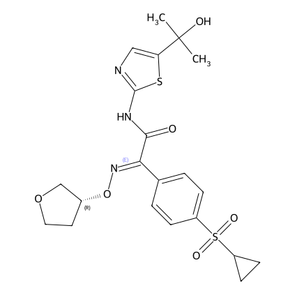 CC(C)(O)c1cnc(NC(=O)/C(=N/O[C@@H]2CCOC2)c2ccc(S(=O)(=O)C3CC3)cc2)s1